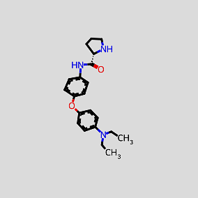 CCN(CC)c1ccc(Oc2ccc(NC(=O)[C@@H]3CCCN3)cc2)cc1